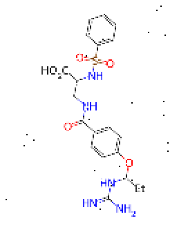 CCC(NC(=N)N)Oc1ccc(C(=O)NCC(NS(=O)(=O)c2ccccc2)C(=O)O)cc1